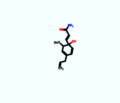 C=CCC1=CC(OC)C(O)(C=CC(N)=O)C=C1